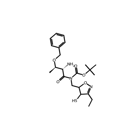 CCC1=NOC(CN(C(=O)OC(C)(C)C)C(=O)[C@@H](N)[C@@H](C)OCc2ccccc2)C1S